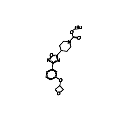 CC(C)(C)OC(=O)N1CCC(c2nc(-c3cccc(OC4COC4)c3)no2)CC1